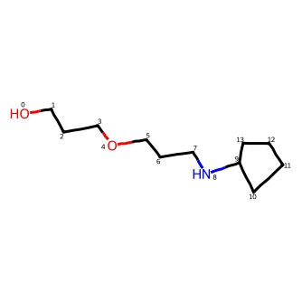 OCCCOCCCNC1CCCC1